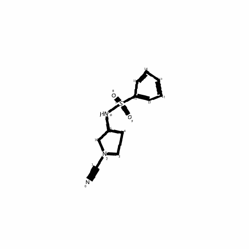 N#CN1CCC(NS(=O)(=O)c2ccccc2)C1